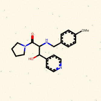 COc1ccc(CNC(C(=O)N2CCCC2)C(O)c2ccncc2)cc1